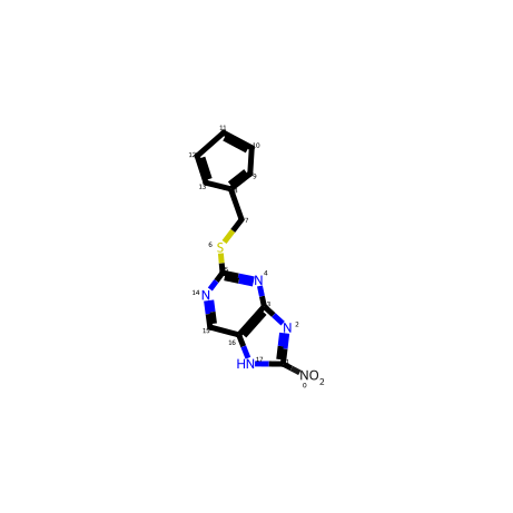 O=[N+]([O-])c1nc2nc(SCc3ccccc3)ncc2[nH]1